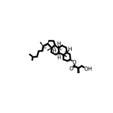 C=C(CO)C(=O)O[C@H]1CC[C@@]2(C)[C@H](CC[C@@H]3[C@@H]2CC[C@]2(C)[C@@H]([C@H](C)CCCC(C)C)CC[C@@H]32)C1